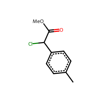 COC(=O)C(Cl)c1ccc(C)cc1